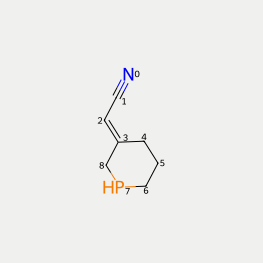 N#CC=C1CCCPC1